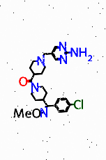 CON=C(c1ccc(Cl)cc1)C1CCN(C(=O)C2CCN(Cc3cnc(N)nc3)CC2)CC1